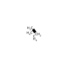 C.C.C=C